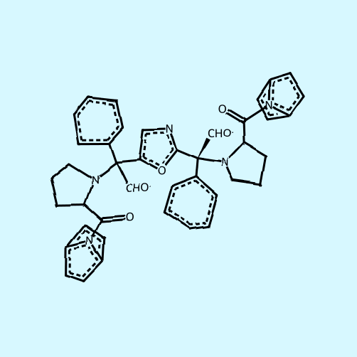 O=[C]C(c1ccccc1)(c1cnc([C@@]([C]=O)(c2ccccc2)N2CCC[C]2C(=O)n2c3ccc2cc3)o1)N1CCC[C]1C(=O)n1c2ccc1cc2